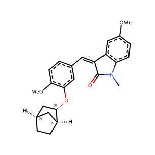 COc1ccc2c(c1)/C(=C/c1ccc(OC)c(O[C@H]3C[C@@H]4CC[C@H]3C4)c1)C(=O)N2C